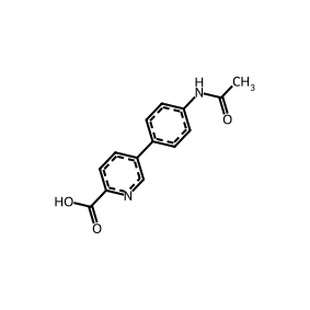 CC(=O)Nc1ccc(-c2ccc(C(=O)O)nc2)cc1